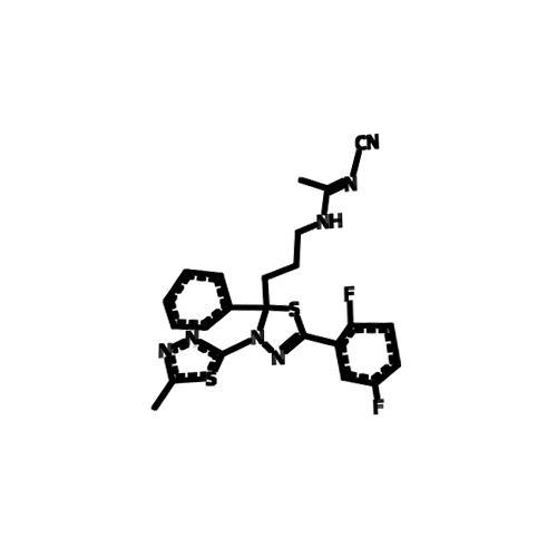 C/C(=N\C#N)NCCCC1(c2ccccc2)SC(c2cc(F)ccc2F)=NN1c1nnc(C)s1